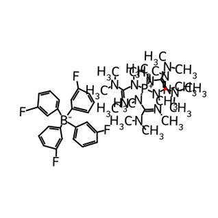 CN=C(N(C)C)N(C)[P+](N(C)C(=NC)N(C)C)(N(C)C(=NC)N(C)C)N(C)C(=NC)N(C)C.Fc1cccc([B-](c2cccc(F)c2)(c2cccc(F)c2)c2cccc(F)c2)c1